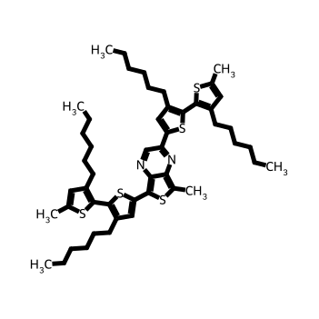 CCCCCCc1cc(C)sc1-c1sc(-c2cnc3c(-c4cc(CCCCCC)c(-c5sc(C)cc5CCCCCC)s4)sc(C)c3n2)cc1CCCCCC